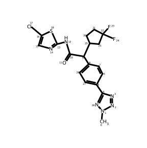 Cn1nnc(-c2ccc(C(C(=O)Nc3ncc(Cl)s3)C3CCC(F)(F)C3)cc2)n1